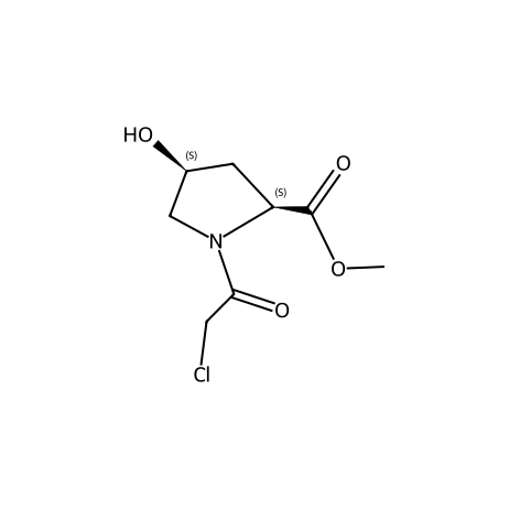 COC(=O)[C@@H]1C[C@H](O)CN1C(=O)CCl